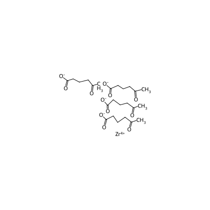 CC(=O)CCCC(=O)[O-].CC(=O)CCCC(=O)[O-].CC(=O)CCCC(=O)[O-].CC(=O)CCCC(=O)[O-].[Zr+4]